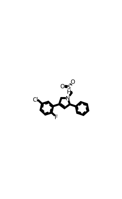 O=[SH](=O)CN1CC(c2cc(Cl)ccc2F)=CC1c1ccccc1